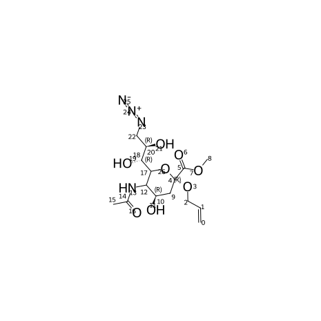 C=CCO[C@]1(C(=O)OC)C[C@@H](O)C(NC(C)=O)C([C@H](O)[C@H](O)CN=[N+]=[N-])O1